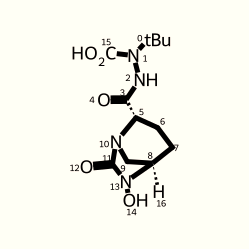 CC(C)(C)N(NC(=O)[C@@H]1CC[C@@H]2CN1C(=O)N2O)C(=O)O